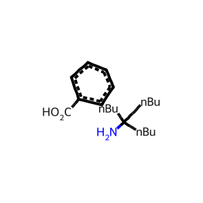 CCCCC(N)(CCCC)CCCC.O=C(O)c1ccccc1